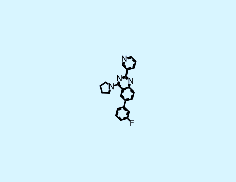 Fc1cccc(-c2ccc3nc(-c4cccnc4)nc(N4CCCC4)c3c2)c1